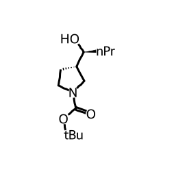 CCC[C@H](O)[C@H]1CCN(C(=O)OC(C)(C)C)C1